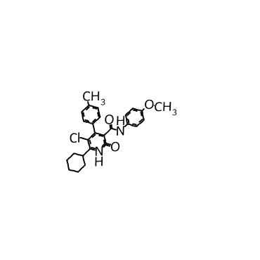 COc1ccc(NC(=O)c2c(-c3ccc(C)cc3)c(Cl)c(C3CCCCC3)[nH]c2=O)cc1